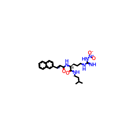 CC(C)C[CH]NC(=O)[C@H](CCCNC(=N)N[N+](=O)[O-])NC(=O)/C=C/c1ccc2ccccc2c1